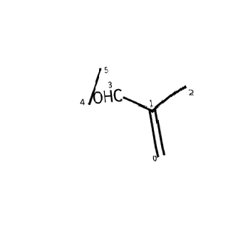 C=C(C)C=O.CC